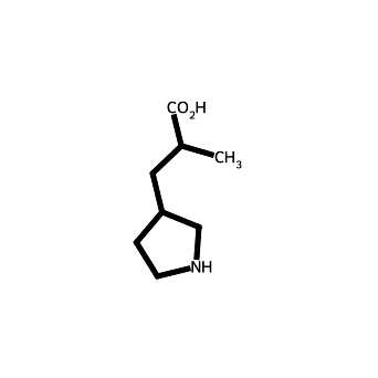 CC(CC1CCNC1)C(=O)O